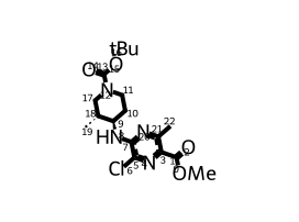 COC(=O)c1nc(Cl)c(N[C@@H]2CCN(C(=O)OC(C)(C)C)C[C@H]2C)nc1C